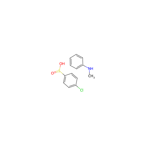 CNc1ccccc1.O=S(O)c1ccc(Cl)cc1